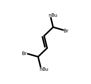 CCCCC(Br)C=CC(Br)CCCC